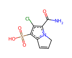 NC(=O)c1c(Cl)c(S(=O)(=O)O)c2n1CC=C2